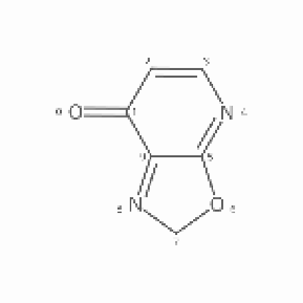 O=C1C=CN=C2OCN=C12